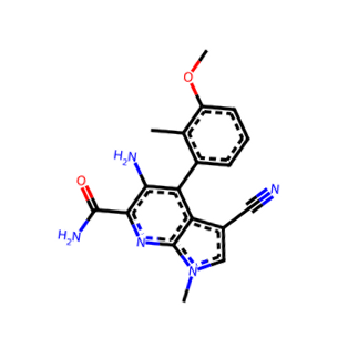 COc1cccc(-c2c(N)c(C(N)=O)nc3c2c(C#N)cn3C)c1C